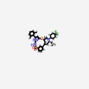 Cc1cccc(C)c1-c1cc2nc(n1)NS(=O)(=O)c1cccc(c1)C1C[C@@H](CN(C3CCC(F)(F)CC3)[C@@H](CC(C)C)C1)O2